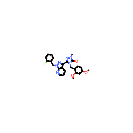 COc1ccc(Cn2c(-c3nn(Cc4ccccc4F)c4ncccc34)nn(C)c2=O)c(OC)c1